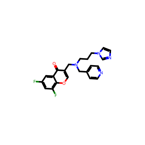 O=c1c(CN(CCCn2ccnc2)Cc2ccncc2)coc2c(F)cc(F)cc12